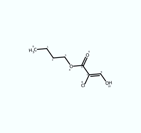 CCCCOC(=O)C(Cl)=CO